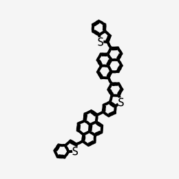 C1=CC2C=C(c3ccc4ccc5c(-c6ccc7sc8ccc(-c9ccc%10ccc%11c(-c%12cc%13ccccc%13s%12)ccc%12ccc9c%10c%12%11)cc8c7c6)ccc6ccc3c4c65)SC2C=C1